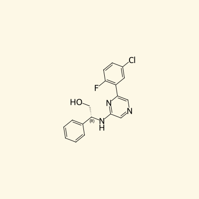 OC[C@H](Nc1cncc(-c2cc(Cl)ccc2F)n1)c1ccccc1